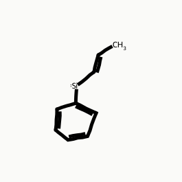 CC=C[Si]c1ccccc1